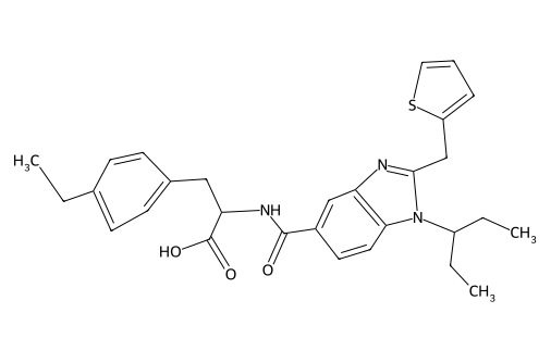 CCc1ccc(CC(NC(=O)c2ccc3c(c2)nc(Cc2cccs2)n3C(CC)CC)C(=O)O)cc1